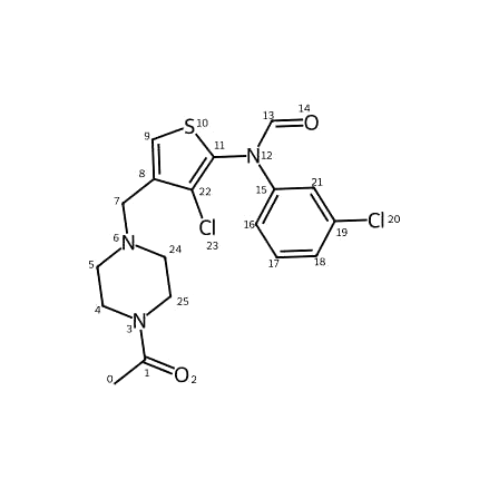 CC(=O)N1CCN(Cc2csc(N(C=O)c3cccc(Cl)c3)c2Cl)CC1